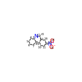 Cc1nc2ccccc2c2ccc([N+](=O)[O-])cc12